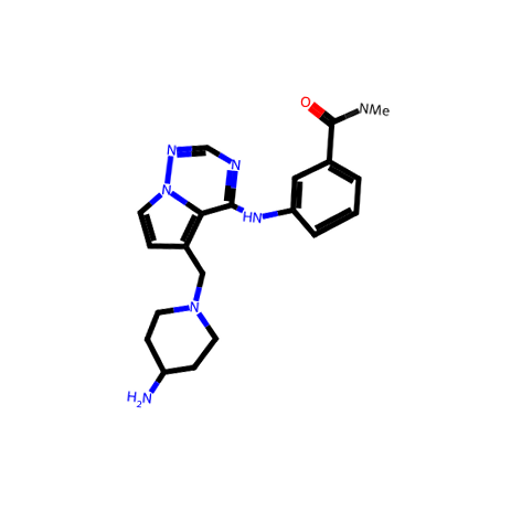 CNC(=O)c1cccc(Nc2ncnn3ccc(CN4CCC(N)CC4)c23)c1